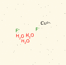 O.O.O.[Cu+2].[F-].[F-]